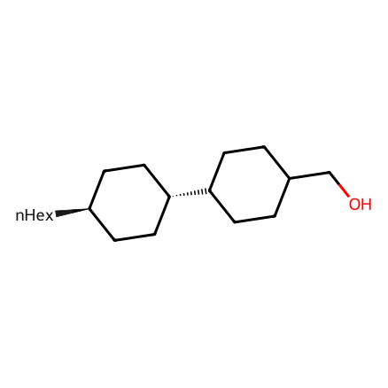 CCCCCC[C@H]1CC[C@H](C2CCC(CO)CC2)CC1